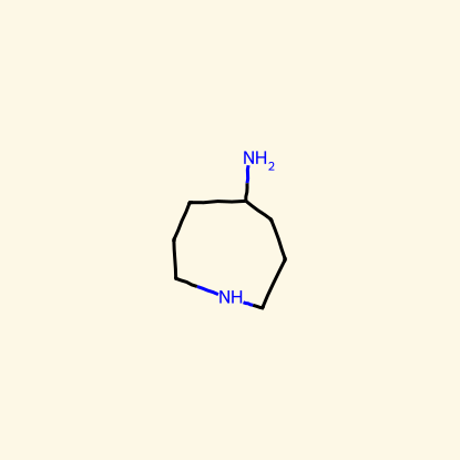 NC1CCCNCCC1